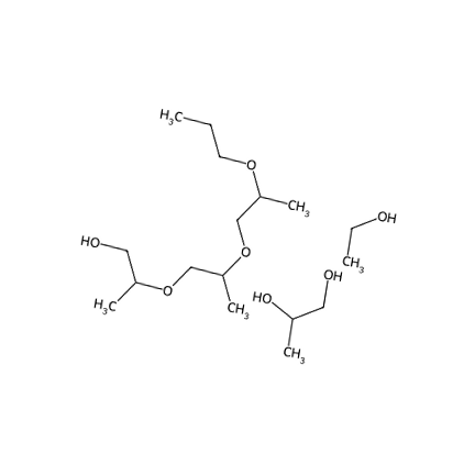 CC(O)CO.CCCOC(C)COC(C)COC(C)CO.CCO